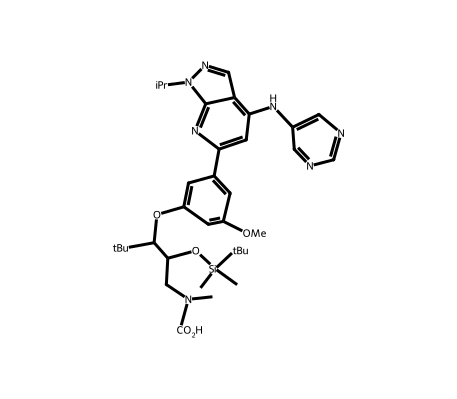 COc1cc(OC(C(CN(C)C(=O)O)O[Si](C)(C)C(C)(C)C)C(C)(C)C)cc(-c2cc(Nc3cncnc3)c3cnn(C(C)C)c3n2)c1